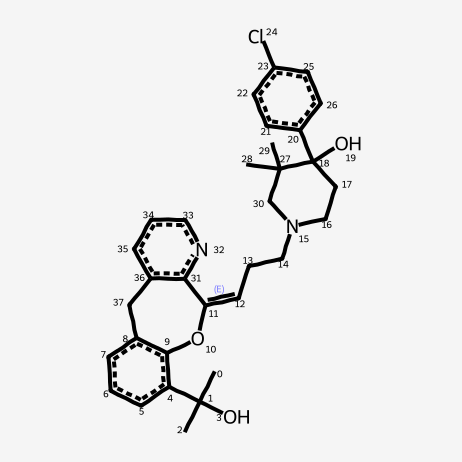 CC(C)(O)c1cccc2c1O/C(=C/CCN1CCC(O)(c3ccc(Cl)cc3)C(C)(C)C1)c1ncccc1C2